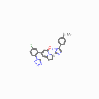 CC(=O)Nc1ccc(-c2cnc([C@@H]3CCc4cc(-c5cc(Cl)ccc5-n5cnnn5)cc(=O)n43)[nH]2)cc1